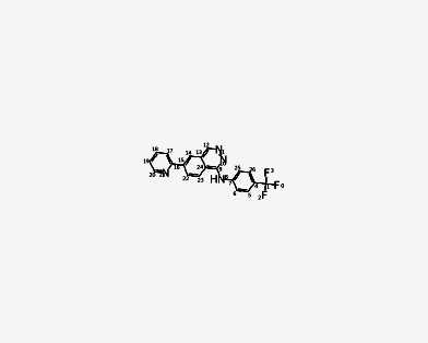 FC(F)(F)c1ccc(Nc2nncc3cc(-c4ccccn4)ccc23)cc1